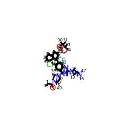 C=CC(=O)N1C[C@H](C)N(c2nc(N3CC(N(C)C)C3)nc3c(F)c(-c4cc(B5OC(C)(C)C(C)(C)O5)cc5ccccc45)c(Cl)cc23)C[C@H]1C